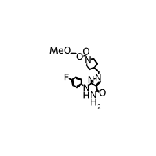 COCCOC(=O)N1CCC(Cn2cc(C(N)=O)c(Nc3ccc(F)cc3)n2)CC1